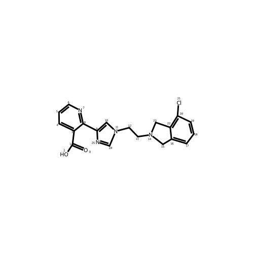 O=C(O)c1cccnc1-c1cn(CCN2Cc3cccc(Cl)c3C2)cn1